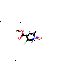 COC(=O)c1cc(C)[n+]([O-])cc1F